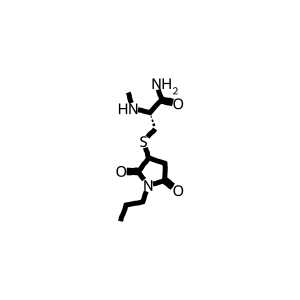 CCCN1C(=O)CC(SC[C@H](NC)C(N)=O)C1=O